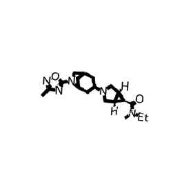 CCN(C)C(=O)[C@H]1[C@@H]2CN(C3CC4CC(C3)N(c3nc(C)no3)C4)C[C@@H]21